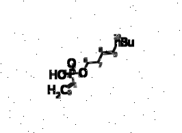 C=CP(=O)(O)OCCC=CCCCC